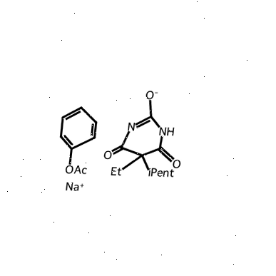 CC(=O)Oc1ccccc1.CCCC(C)C1(CC)C(=O)N=C([O-])NC1=O.[Na+]